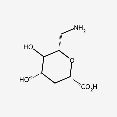 NC[C@@H]1O[C@H](C(=O)O)C[C@H](O)C1O